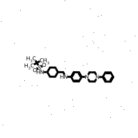 CC(C)(C)S(=O)(=O)NC1CCC(CNc2ccc(N3CCN(c4ccccc4)CC3)cc2)CC1